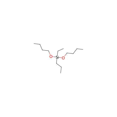 CCCCO[Si](CC)(CCC)OCCCC